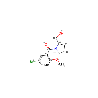 COc1ccc(Br)cc1C(=O)N1CCCC1CO